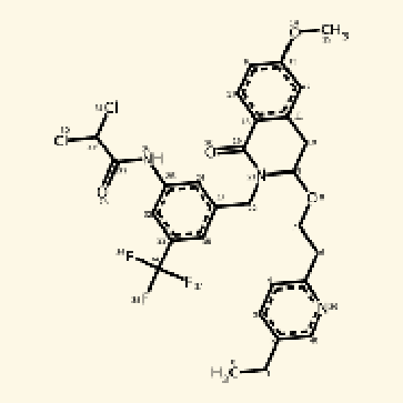 CCc1ccc(CCOC2Cc3cc(OC)ccc3C(=O)N2Cc2cc(NC(=O)C(Cl)Cl)cc(C(F)(F)F)c2)nc1